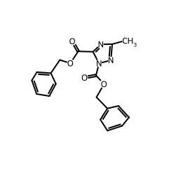 Cc1nc(C(=O)OCc2ccccc2)n(C(=O)OCc2ccccc2)n1